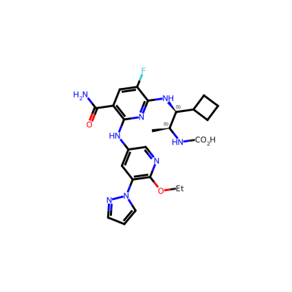 CCOc1ncc(Nc2nc(N[C@@H](C3CCC3)[C@H](C)NC(=O)O)c(F)cc2C(N)=O)cc1-n1cccn1